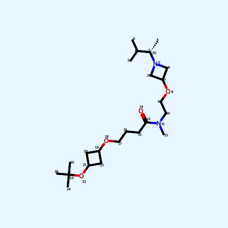 CC(C)[C@H](C)N1CC(OCCN(C)C(=O)CCCOC2CC(OC(C)(C)C)C2)C1